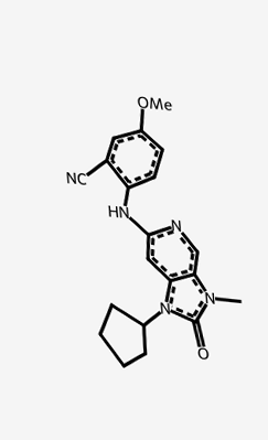 COc1ccc(Nc2cc3c(cn2)n(C)c(=O)n3C2CCCC2)c(C#N)c1